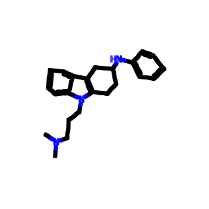 CN(C)CCCn1c2c(c3ccccc31)CC(Nc1ccccc1)CC2